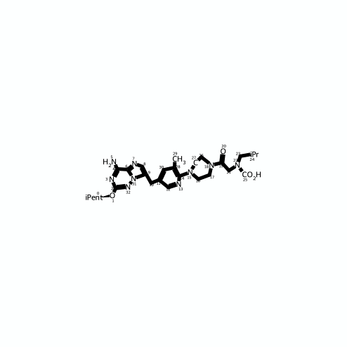 CCC[C@H](C)Oc1nc(N)c2ncc(Cc3cnc(N4CCN(C(=O)CN(CC(C)C)C(=O)O)CC4)c(C)c3)n2n1